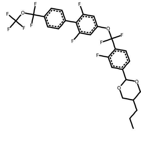 CCCC1COC(c2ccc(C(F)(F)Oc3cc(F)c(-c4ccc(C(F)(F)OC(F)(F)F)cc4)c(F)c3)c(F)c2)OC1